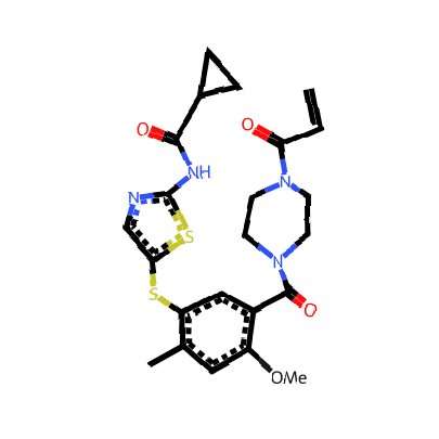 C=CC(=O)N1CCN(C(=O)c2cc(Sc3cnc(NC(=O)C4CC4)s3)c(C)cc2OC)CC1